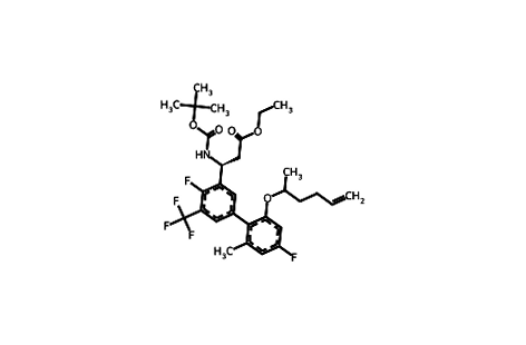 C=CCCC(C)Oc1cc(F)cc(C)c1-c1cc([C@H](CC(=O)OCC)NC(=O)OC(C)(C)C)c(F)c(C(F)(F)F)c1